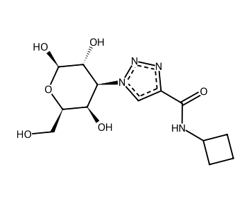 O=C(NC1CCC1)c1cn([C@@H]2[C@@H](O)[C@H](O)O[C@H](CO)[C@@H]2O)nn1